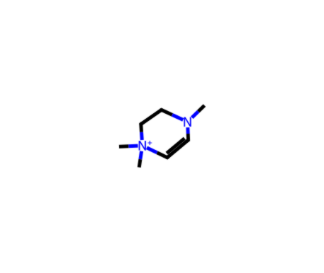 CN1C=C[N+](C)(C)CC1